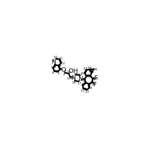 OC(COc1cccc2ncccc12)CN1CCN(C2c3ccccc3C(F)C(F)c3c2ccc2c3C2)CC1